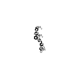 CC1(N)CCN(c2cnc(-c3cccc(N4CCN(Cc5ccc(N6CCC(=O)NC6=O)cn5)CC4)c3Cl)c(N)n2)CC1